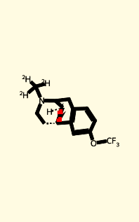 [2H]C([2H])([2H])N1CC[C@@]23CCCC[C@@H]2C1Cc1ccc(OC(F)(F)F)cc13